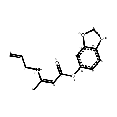 C=CCN/C(C)=C\C(=O)Oc1ccc2c(c1)OCO2